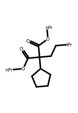 CCCOC(=O)C(CCC(C)C)(C(=O)OCCC)C1CCCC1